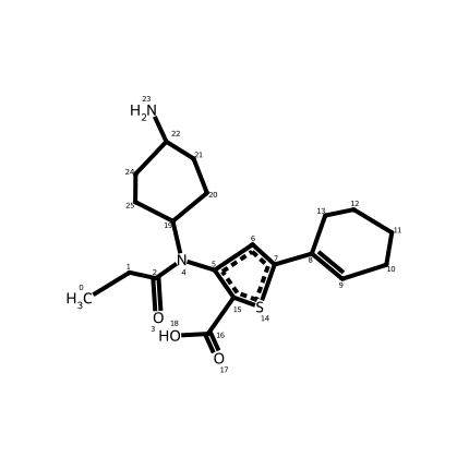 CCC(=O)N(c1cc(C2=CCCCC2)sc1C(=O)O)C1CCC(N)CC1